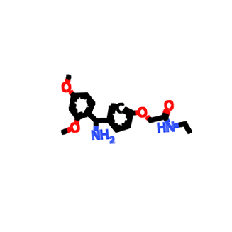 CCNC(=O)COc1ccc(C(N)c2ccc(OC)cc2OC)cc1